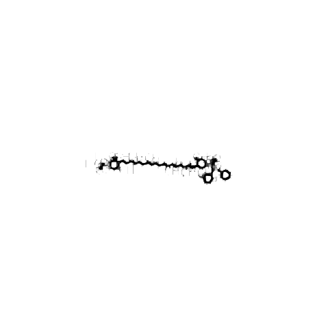 CC1=CC(OP(=O)(O)O)CC(C)(C)C1/C=C/C(C)=C/C=C/C(C)=C/C=C/C=C(C)/C=C/C=C(C)/C=C/C1=C(C)CC(OP(=O)(OCc2ccccc2)OCc2ccccc2)CC1(C)C